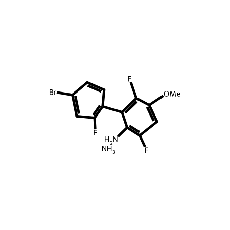 COc1cc(F)c(N)c(-c2ccc(Br)cc2F)c1F.N